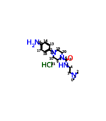 CN(C)CCNC(=O)N1CCN(c2ccc(N)cc2)CC1.Cl